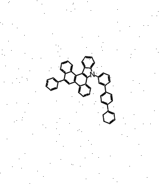 C1=CCCC(c2ccc(-c3cccc(-n4c5ccccc5c5c6c7ccccc7c(-c7ccccc7)cc6c6ccccc6c54)c3)cc2)=C1